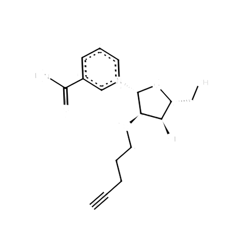 C#CCCCO[C@@H]1[C@H](O)[C@@H](CO)O[C@H]1[n+]1cccc(C(N)=O)c1